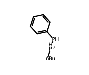 CCCC[PH3]Pc1ccccc1